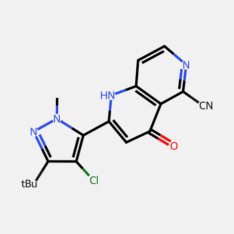 Cn1nc(C(C)(C)C)c(Cl)c1-c1cc(=O)c2c(C#N)nccc2[nH]1